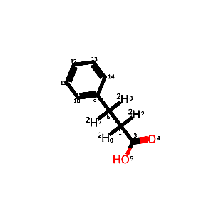 [2H]C([2H])(C(=O)O)C([2H])([2H])c1ccccc1